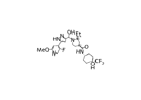 CC[C@@H]1C[C@@H](C(=O)N[C@H]2CC[C@@](O)(C(F)(F)F)CC2)CCN1C(O)c1cc(-c2cc(OC)ncc2F)[nH]n1